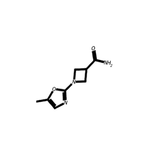 Cc1cnc(N2CC(C(N)=O)C2)o1